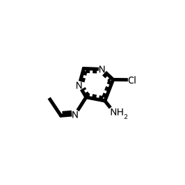 C/C=N\c1ncnc(Cl)c1N